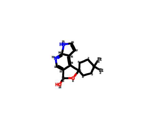 CCC1(CC)CCC2(CC1)OB(O)c1cnc3[nH]ccc3c12